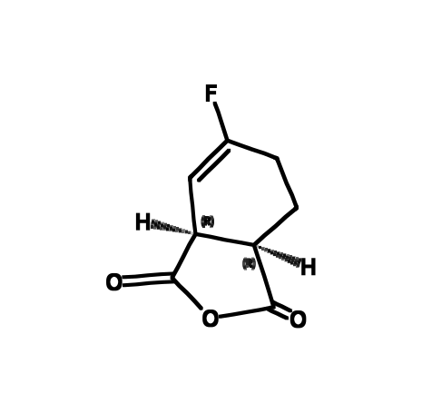 O=C1OC(=O)[C@@H]2CCC(F)=C[C@H]12